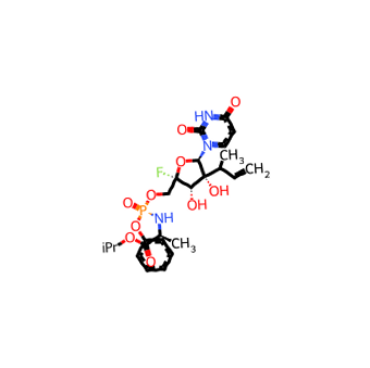 C=CC(C)[C@]1(O)[C@H](n2ccc(=O)[nH]c2=O)O[C@](F)(CO[P@@](=O)(N[C@@H](C)C(=O)OC(C)C)Oc2ccccc2)[C@H]1O